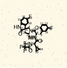 N[C@@H]1C[C@@]2(CN1C(=O)[C@H](Cc1cccc(F)c1)NC(=O)[C@@H](NC(=O)C(F)(F)F)C1CC1)C(=O)Nc1ccc(F)cc12